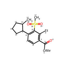 CCc1c(C(=O)OC)ccc(C2CCCC2C)c1S(C)(=O)=O